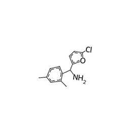 Cc1ccc(C(N)c2ccc(Cl)o2)c(C)c1